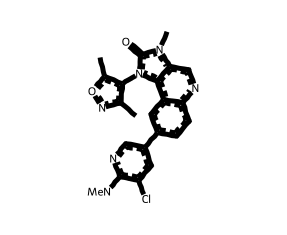 CNc1ncc(-c2ccc3ncc4c(c3c2)n(-c2c(C)noc2C)c(=O)n4C)cc1Cl